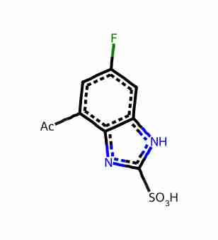 CC(=O)c1cc(F)cc2[nH]c(S(=O)(=O)O)nc12